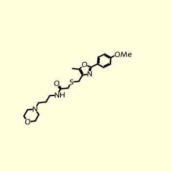 COc1ccc(-c2nc(CSCC(=O)NCCCN3CCOCC3)c(C)o2)cc1